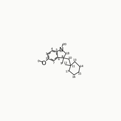 COc1ccc2c(c1)C(C)(CC1(C)CCCCC1)CN2C